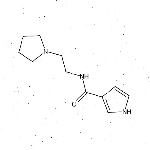 O=C(NCCN1CCCC1)c1cc[nH]c1